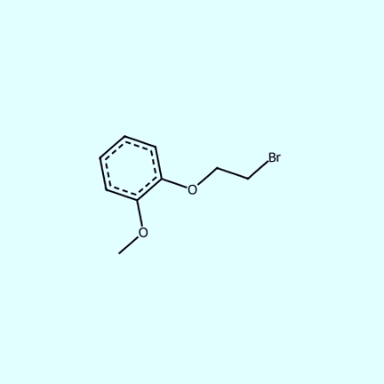 COc1ccccc1OCCBr